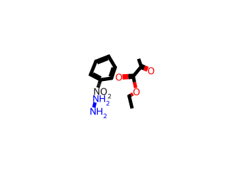 CCOC(=O)C(C)=O.NN.O=[N+]([O-])c1ccccc1